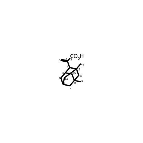 C=C(C(=O)O)C1C2CC3CC(C)(C2)CC1(C)C3